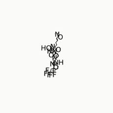 CN(C)C(=O)C=CCCC(C(=O)Nc1cccn(Cc2nc3c(CC(C(F)(F)F)C(F)(F)F)cccc3[nH]2)c1=O)N(C)C(=O)O